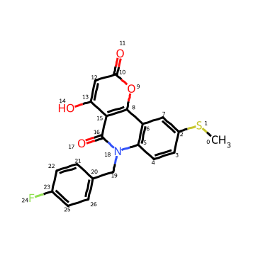 CSc1ccc2c(c1)c1oc(=O)cc(O)c1c(=O)n2Cc1ccc(F)cc1